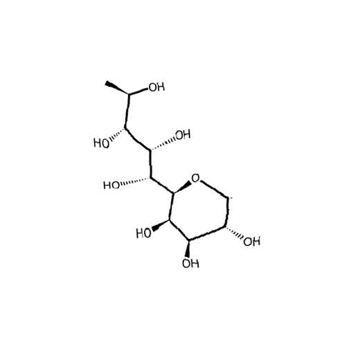 C[C@@H](O)[C@@H](O)[C@H](O)[C@@H](O)[C@H]1O[CH][C@H](O)[C@@H](O)[C@H]1O